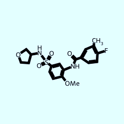 COc1ccc(S(=O)(=O)NC2CCOC2)cc1NC(=O)c1ccc(F)c(C)c1